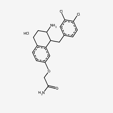 Cl.NC(=O)COc1ccc2c(c1)C(Cc1ccc(Cl)c(Cl)c1)C(N)CC2